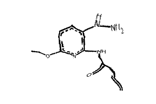 C=CC(=O)Nc1nc(OC)ccc1NN